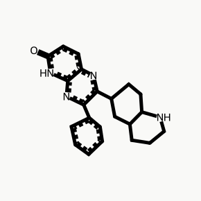 O=c1ccc2nc(C3CCC4NCCCC4C3)c(-c3ccccc3)nc2[nH]1